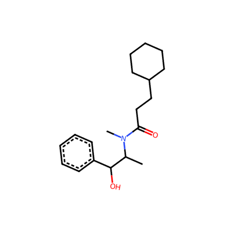 CC(C(O)c1ccccc1)N(C)C(=O)CCC1CCCCC1